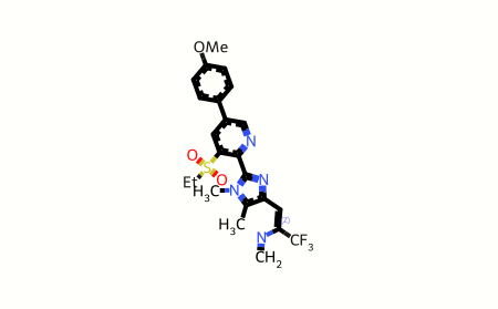 C=N/C(=C\c1nc(-c2ncc(-c3ccc(OC)cc3)cc2S(=O)(=O)CC)n(C)c1C)C(F)(F)F